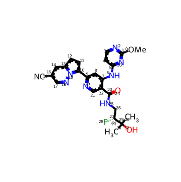 COc1nccc(Nc2cc(-c3ccc4cc(C#N)cnn34)ncc2C(=O)NC[C@@H](F)C(C)(C)O)n1